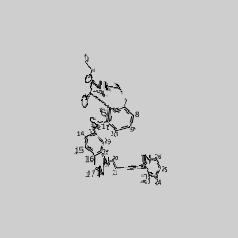 CCONC(=O)c1ccccc1Sc1ccc2cnn(C=Cc3ccccn3)c2c1